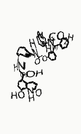 O=C(COc1cccc([C@H](c2ccccc2)N(C(=O)O)[C@H]2CN3CCC2CC3)c1)Nc1cccc(CNC[C@H](O)c2ccc(O)c3[nH]c(=O)ccc23)c1